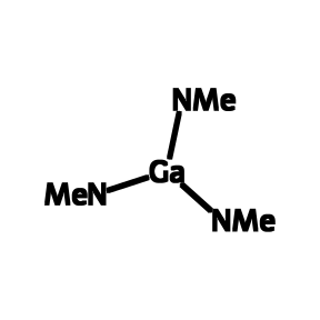 C[NH][Ga]([NH]C)[NH]C